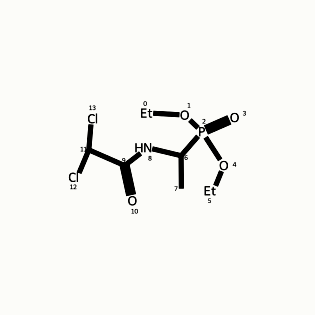 CCOP(=O)(OCC)C(C)NC(=O)C(Cl)Cl